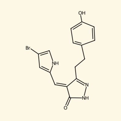 O=C1NN=C(CCc2ccc(O)cc2)C1=Cc1cc(Br)c[nH]1